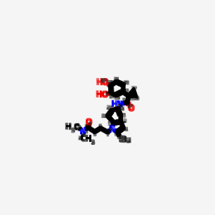 CN(C)C(=O)CCCn1c(C(C)(C)C)cc2cc(NC(=O)C3(c4ccc(O)c(O)c4)CC3)ccc21